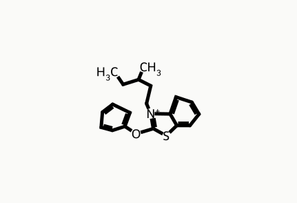 CCC(C)CC[n+]1c(Oc2ccccc2)sc2ccccc21